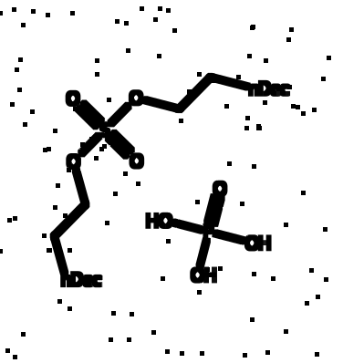 CCCCCCCCCCCCOS(=O)(=O)OCCCCCCCCCCCC.O=P(O)(O)O